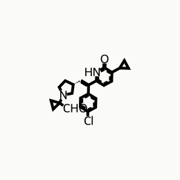 O=CC1(N2CC[C@H](/C=C(\c3ccc(Cl)cc3)c3ccc(C4CC4)c(=O)[nH]3)C2)CC1